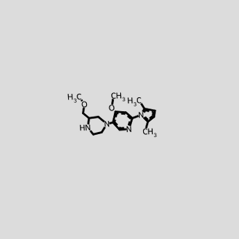 COCC1CN(c2cnc(-n3c(C)ccc3C)cc2OC)CCN1